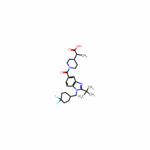 CC(C(=O)O)C1CCN(C(=O)c2ccc3c(c2)nc(C(C)(C)C)n3CC2CCC(F)(F)CC2)CC1